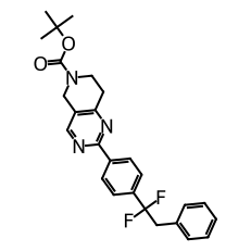 CC(C)(C)OC(=O)N1CCc2nc(-c3ccc(C(F)(F)Cc4ccccc4)cc3)ncc2C1